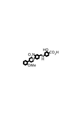 COc1ccccc1C1CCN(c2ccc(CNc3ccc(C(=O)O)c(O)c3)cc2[N+](=O)[O-])CC1